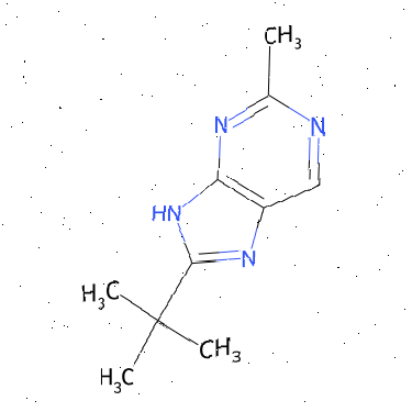 Cc1ncc2nc(C(C)(C)C)[nH]c2n1